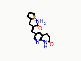 NC(=O)C(=Cc1cnc2c(c1)CCC(=O)N2)Cc1cccs1